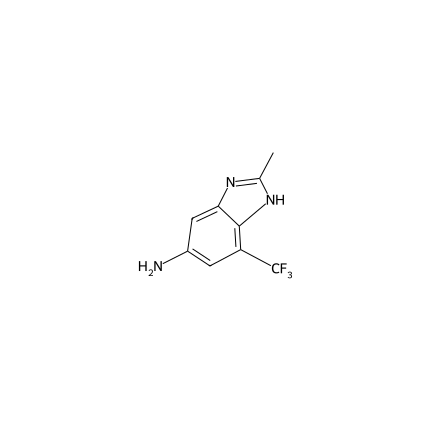 Cc1nc2cc(N)cc(C(F)(F)F)c2[nH]1